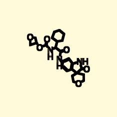 O=C(NC(C(=O)Nc1ccc2c(c1)NC(=O)C21CCOCC1)C1CCCCC1)OC1COC1